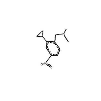 CN(C)Cc1ccc([N+](=O)[O-])cc1C1CC1